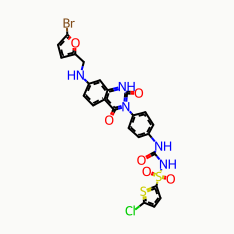 O=C(Nc1ccc(-n2c(=O)[nH]c3cc(NCc4ccc(Br)o4)ccc3c2=O)cc1)NS(=O)(=O)c1ccc(Cl)s1